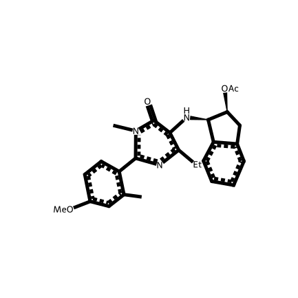 CCc1nc(-c2ccc(OC)cc2C)n(C)c(=O)c1N[C@@H]1c2ccccc2C[C@@H]1OC(C)=O